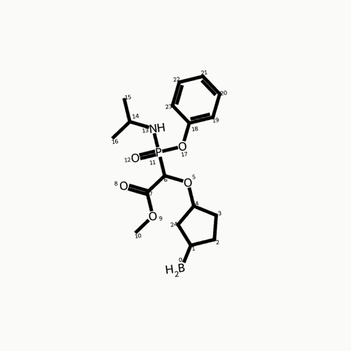 BC1CCC(OC(C(=O)OC)P(=O)(NC(C)C)Oc2ccccc2)C1